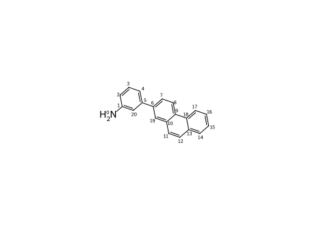 Nc1cccc(-c2ccc3c(ccc4ccccc43)c2)c1